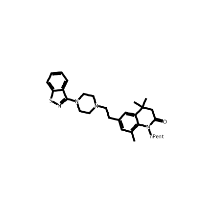 CCCCCN1C(=O)CC(C)(C)c2cc(CCN3CCN(c4nsc5ccccc45)CC3)cc(C)c21